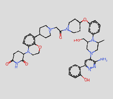 CC1CN(c2cc(-c3ccccc3O)nnc2N)CC(CO)N1c1cccc(OC2CCN(C(=O)CN3CCC(c4cccc5c4OCCN5C4CCC(=O)NC4=O)CC3)CC2)c1